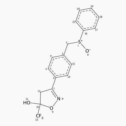 [O-][S+](Cc1ccc(C2=NOC(O)(C(F)(F)F)C2)cc1)c1ccccc1